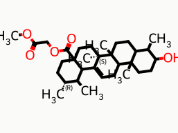 COC(=O)COC(=O)C12CC[C@@H](C)C(C)C1C1=CCC3C4(C)CCC(O)C(C)C4CCC3(C)[C@]1(C)CC2